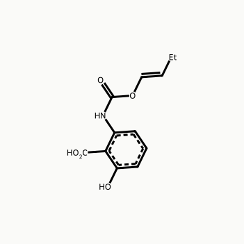 CCC=COC(=O)Nc1cccc(O)c1C(=O)O